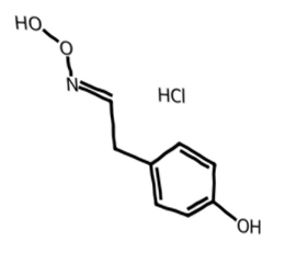 Cl.OON=CCc1ccc(O)cc1